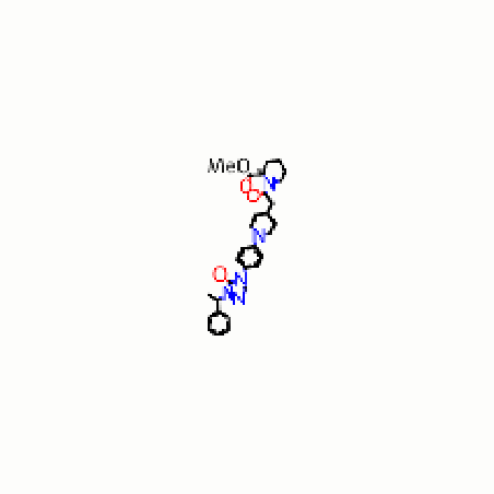 COC(=O)[C@H]1CCCCN1C(=O)CC1CCN(c2ccc(-n3cnn(C(C)c4ccccc4)c3=O)cc2)CC1